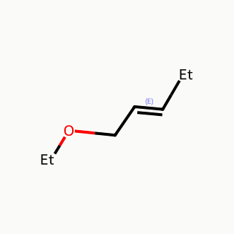 [CH2]COC/C=C/CC